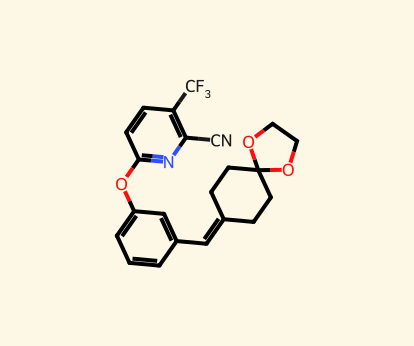 N#Cc1nc(Oc2cccc(C=C3CCC4(CC3)OCCO4)c2)ccc1C(F)(F)F